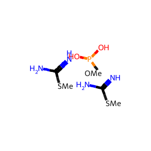 COP(O)O.CSC(=N)N.CSC(=N)N